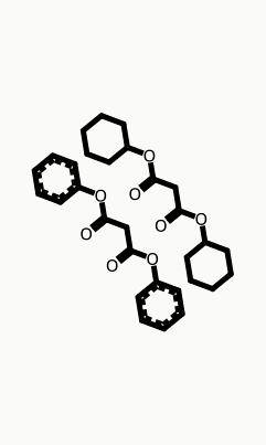 O=C(CC(=O)OC1CCCCC1)OC1CCCCC1.O=C(CC(=O)Oc1ccccc1)Oc1ccccc1